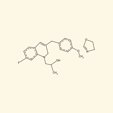 C1=NCCO1.COc1ccc(CC2=Cc3ccc(F)cc3N(CC(C)O)C2)cc1